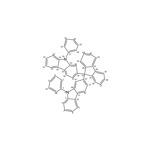 c1ccc(-n2c3ccccc3c3ccc(C4(c5ccc6c7ccccc7n(-c7ccccc7)c6c5)c5ccccc5-c5ccccc54)cc32)cc1